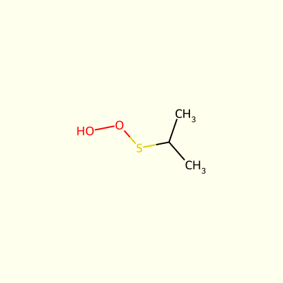 CC(C)SOO